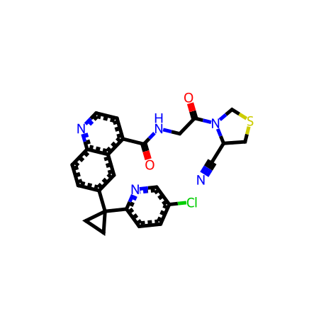 N#CC1CSCN1C(=O)CNC(=O)c1ccnc2ccc(C3(c4ccc(Cl)cn4)CC3)cc12